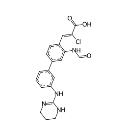 O=CNc1cc(-c2cccc(NC3=NCCCN3)c2)ccc1C=C(Cl)C(=O)O